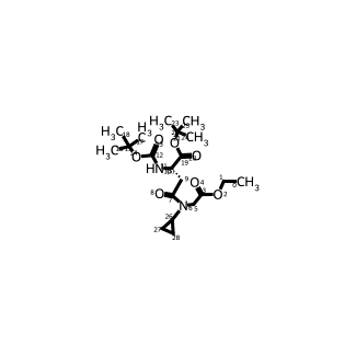 CCOC(=O)CN(C(=O)C[C@H](NC(=O)OC(C)(C)C)C(=O)OC(C)(C)C)C1CC1